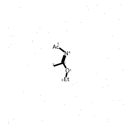 CCO/C(C)=N/C(C)=O